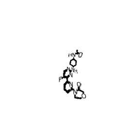 CC(=O)N[C@H]1CC[C@H](Nc2ncc(F)c(-c3cccc(N4CCOCC4=O)n3)n2)CC1